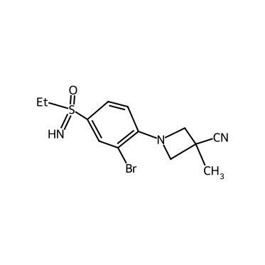 CCS(=N)(=O)c1ccc(N2CC(C)(C#N)C2)c(Br)c1